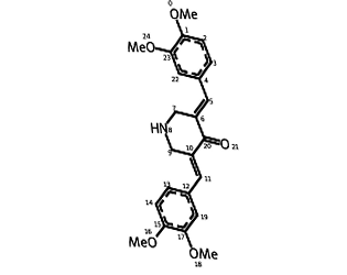 COc1ccc(C=C2CNCC(=Cc3ccc(OC)c(OC)c3)C2=O)cc1OC